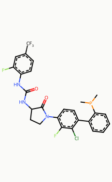 CP(C)c1ccccc1-c1ccc(N2CCC(NC(=O)Nc3ccc(C(F)(F)F)cc3F)C2=O)c(F)c1Cl